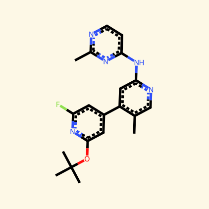 Cc1nccc(Nc2cc(-c3cc(F)nc(OC(C)(C)C)c3)c(C)cn2)n1